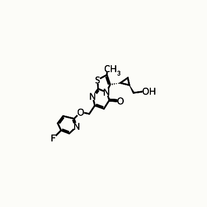 Cc1sc2nc(COc3ccc(F)cn3)cc(=O)n2c1[C@@H]1C[C@H]1CO